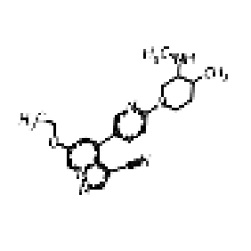 CCOc1cc(-c2ccc(N3CCC(C)C(NC)C3)nc2)c2c(C#N)cnn2c1